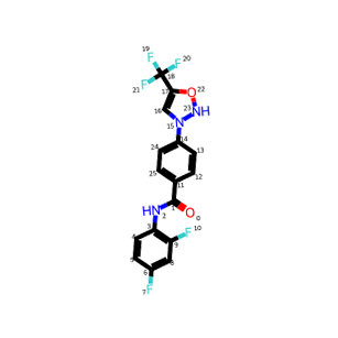 O=C(Nc1ccc(F)cc1F)c1ccc(N2C=C(C(F)(F)F)ON2)cc1